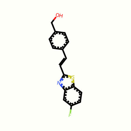 OCc1ccc(C=Cc2nc3cc(F)ccc3s2)cc1